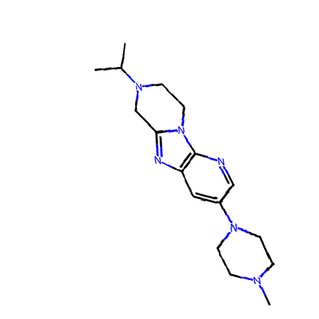 CC(C)N1CCn2c(nc3cc(N4CCN(C)CC4)cnc32)C1